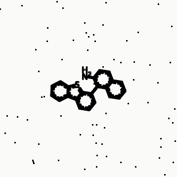 Nc1ccc2ccccc2c1-c1cccc2c1sc1ccccc12